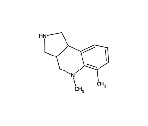 Cc1cccc2c1N(C)CC1CNCC21